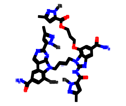 CCn1nc(C)cc1C(=O)Nc1nc2cc(C(N)=O)cc(OCCCOC(=O)c3cc(C)nn3CC)c2n1C/C=C/Cn1c2nc(-c3cc(C)nn3CC)ncc2c2cc(C(N)=O)cc(OC)c21